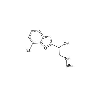 CCCCNCC(O)c1cc2cccc(CC)c2o1